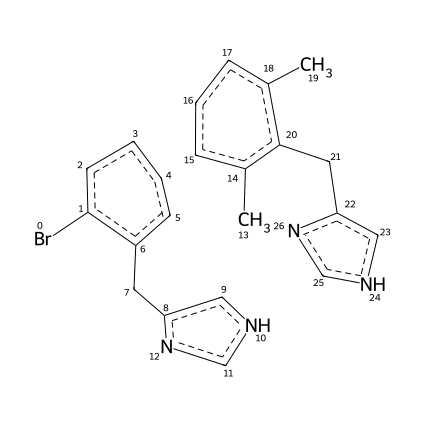 Brc1ccccc1Cc1c[nH]cn1.Cc1cccc(C)c1Cc1c[nH]cn1